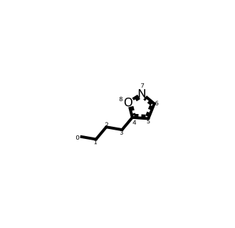 CCCCc1ccno1